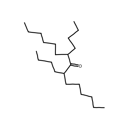 CCCCCCC(CCCC)C(=O)C(CCCC)CCCCCC